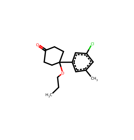 CCCOC1(c2cc(C)cc(Cl)c2)CCC(=O)CC1